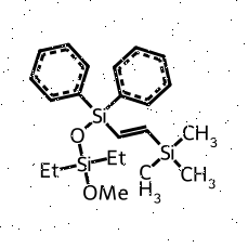 CC[Si](CC)(OC)O[Si](C=C[Si](C)(C)C)(c1ccccc1)c1ccccc1